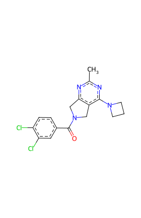 Cc1nc2c(c(N3CCC3)n1)CN(C(=O)c1ccc(Cl)c(Cl)c1)C2